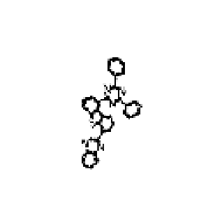 c1ccc(-c2nc(-c3ccccc3)nc(-c3cccc4sc5c(-c6cnc7ccccc7n6)cccc5c34)n2)cc1